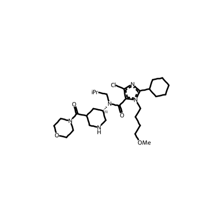 COCCCCn1c(C2CCCCC2)nc(Cl)c1C(=O)N(CC(C)C)[C@@H]1CNCC(C(=O)N2CCOCC2)C1